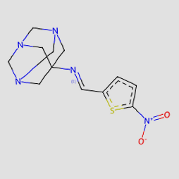 O=[N+]([O-])c1ccc(/C=N/C23CN4CN(CN(C4)C2)C3)s1